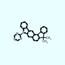 CC1(C)c2ccccc2-c2c1ccc1cc3c(cc21)c1ccccc1n3-c1ncncn1